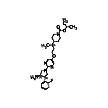 CC(C)OC(=O)N1CCC([C@H](C)CCOc2cnc(N3C[C@H](c4ccccc4F)[C@@H](N)C3)nc2)CC1